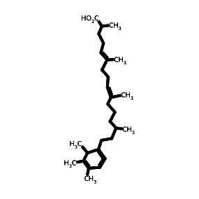 CC1=C(C)C(C)C(CCC(C)CCC/C(C)=C/CC/C(C)=C/CCC(C)C(=O)O)=C=C1